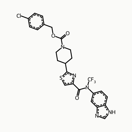 O=C(OCc1ccc(Cl)cc1)N1CCC(c2nc(C(=O)N(c3ccc4[nH]cnc4c3)C(F)(F)F)cs2)CC1